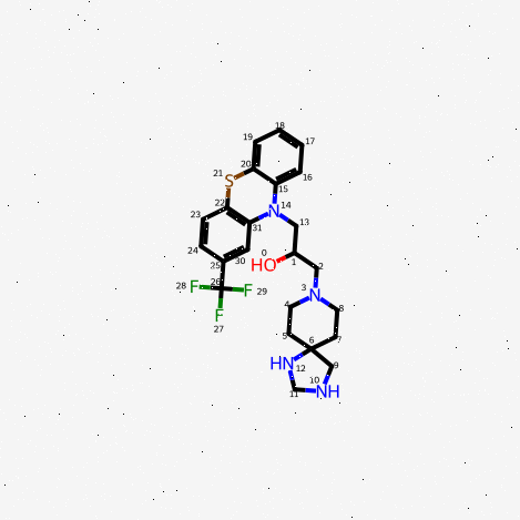 OC(CN1CCC2(CC1)CNCN2)CN1c2ccccc2Sc2ccc(C(F)(F)F)cc21